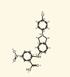 O=C(O)c1cc([N+](=O)[O-])ccc1Nc1ccc2c(c1)CN(c1ccc(Cl)cc1)C2